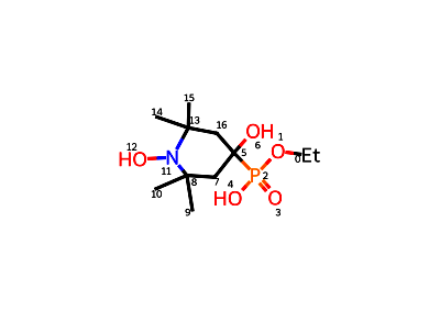 CCOP(=O)(O)C1(O)CC(C)(C)N(O)C(C)(C)C1